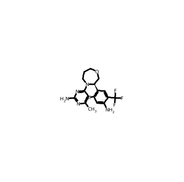 Cc1cc(N2CCCOC[C@H]2c2cc(C(F)(F)F)c(N)cc2Cl)nc(N)n1